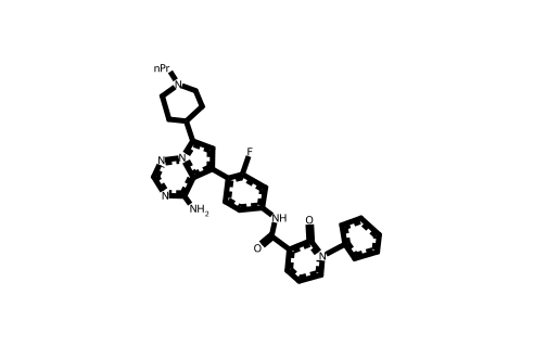 CCCN1CCC(c2cc(-c3ccc(NC(=O)c4cccn(-c5ccccc5)c4=O)cc3F)c3c(N)ncnn23)CC1